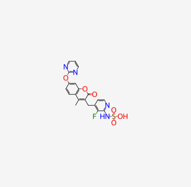 Cc1c(Cc2ccnc(NS(=O)(=O)O)c2F)c(=O)oc2cc(Oc3ncccn3)ccc12